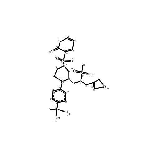 CC1(CN(C[C@H]2CN(S(=O)(=O)C3=CC=CCC3=S)CCN2c2ccc([C@@](C)(O)C(F)(F)F)cc2)S(C)(=O)=O)COC1